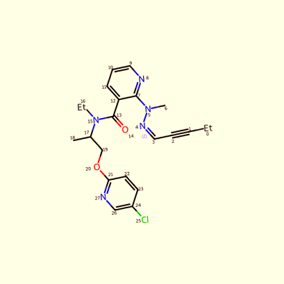 CCC#C/C=N\N(C)c1ncccc1C(=O)N(CC)C(C)COc1ccc(Cl)cn1